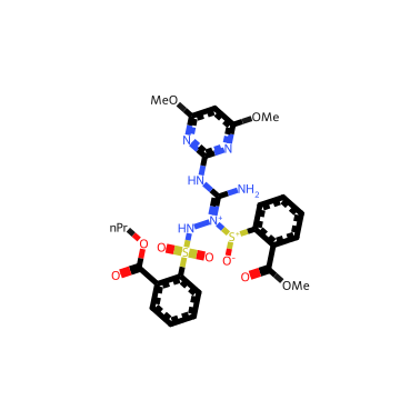 CCCOC(=O)c1ccccc1S(=O)(=O)N[N+](=C(N)Nc1nc(OC)cc(OC)n1)[S+]([O-])c1ccccc1C(=O)OC